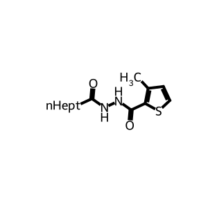 CCCCCCCC(=O)NNC(=O)c1sccc1C